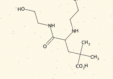 CC(C)(CC(NCCO)C(=O)NCCO)C(=O)O